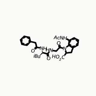 CC[C@H](C)[C@H](NC(=O)Cc1ccccc1)C(=O)NCC(=O)N1c2c(cccc2NC(C)=O)CC1C(=O)O